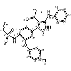 NC(=O)c1c(-c2ccc(NS(=O)(=O)CC(F)(F)F)c(Oc3ccc(Cl)cc3)c2)n[nH]c1Nc1cnccn1